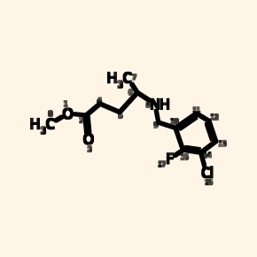 COC(=O)CCC(C)NCc1cccc(Cl)c1F